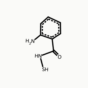 Nc1ccccc1C(=O)NS